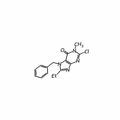 CCc1nc2nc(Cl)n(C)c(=O)c2n1Cc1ccccc1